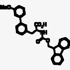 COc1cccc(-c2cccc(C[C@H](NC(=O)OCC3c4ccccc4-c4ccccc43)C(=O)O)c2)c1